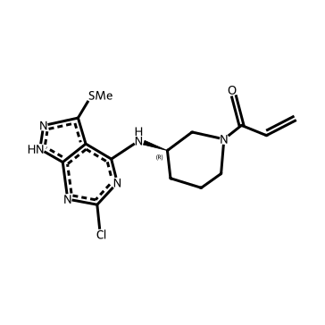 C=CC(=O)N1CCC[C@@H](Nc2nc(Cl)nc3[nH]nc(SC)c23)C1